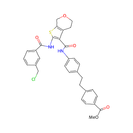 COC(=O)c1ccc(CCc2ccc(NC(=O)c3c(NC(=O)c4cccc(CCl)c4)sc4c3CCOC4)cc2)cc1